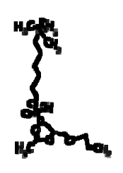 C=CCOC[C@H](COP(=O)(O)OCCCCCC[N+](C)(C)C)OC(C)=O